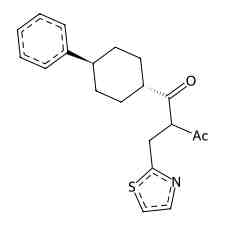 CC(=O)C(Cc1nccs1)C(=O)[C@H]1CC[C@H](c2ccccc2)CC1